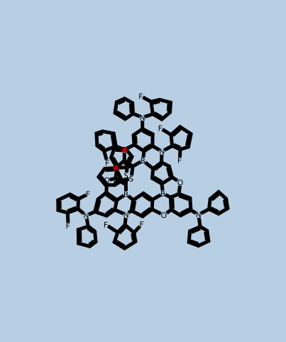 Fc1ccccc1N(c1ccccc1)c1cc2c3c(c1)N(c1ccccc1F)c1c(sc4ccccc14)B3c1cc3c(cc1N2c1c(F)cccc1F)Oc1cc(N(c2ccccc2)c2ccccc2)cc2c1B3c1cc3c(cc1O2)N(c1c(F)cccc1F)c1cc(N(c2ccccc2)c2c(F)cccc2F)cc2c1B3c1sc3ccccc3c1O2